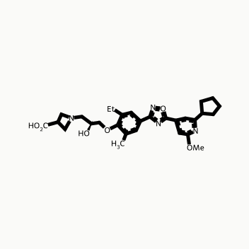 CCc1cc(-c2noc(-c3cc(OC)nc(C4CCCC4)c3)n2)cc(C)c1OC[C@@H](O)CN1CC(C(=O)O)C1